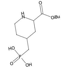 CC(C)COC(=O)C1CC(CP(=O)(O)O)CCN1